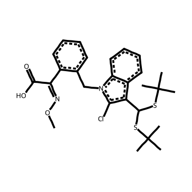 CON=C(C(=O)O)c1ccccc1Cn1c(Cl)c(C(SC(C)(C)C)SC(C)(C)C)c2ccccc21